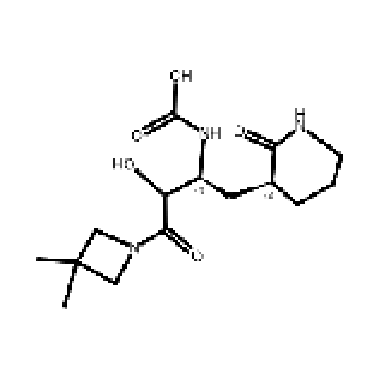 CC1(C)CN(C(=O)C(O)[C@H](C[C@@H]2CCCNC2=O)NC(=O)O)C1